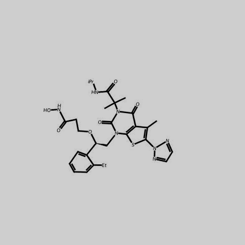 CCc1ccccc1[C@H](Cn1c(=O)n(C(C)(C)C(=O)NC(C)C)c(=O)c2c(C)c(-n3nccn3)sc21)OCCC(=O)NO